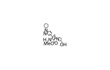 COC(=O)c1c(N2CCC(CO)C2)sc(-c2ccc3c(c2)ncn3C2CCCCC2)c1N